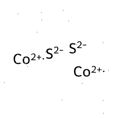 [Co+2].[Co+2].[S-2].[S-2]